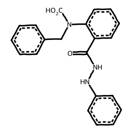 O=C(NNc1ccccc1)c1ccccc1N(Cc1ccccc1)C(=O)O